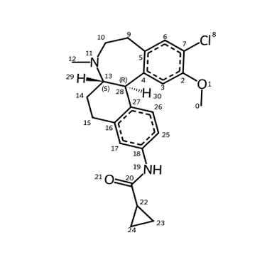 COc1cc2c(cc1Cl)CCN(C)[C@H]1CCc3cc(NC(=O)C4CC4)ccc3[C@H]21